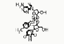 Cc1ccc(CSP(=O)(OC2[C@@H](CO)O[C@@H](n3ccc(=O)[nH]c3=O)[C@H]2C)O[C@H]2O[C@@H](n3cnc4c(N)ncnc43)CC2O)cc1